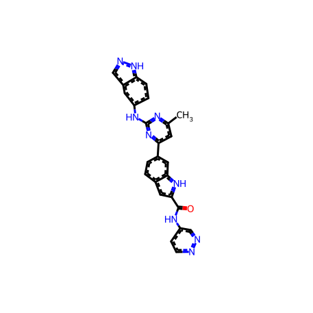 Cc1cc(-c2ccc3cc(C(=O)Nc4ccnnc4)[nH]c3c2)nc(Nc2ccc3[nH]ncc3c2)n1